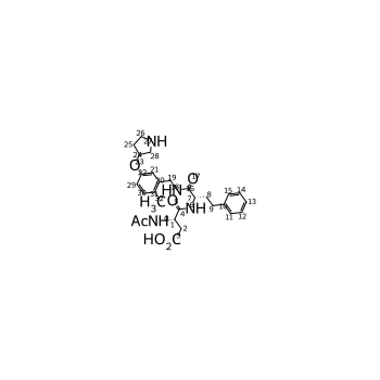 CC(=O)N[C@@H](CC(=O)O)C(=O)N[C@@H](CCc1ccccc1)C(=O)NCc1cc(OC2CCNC2)ccc1C